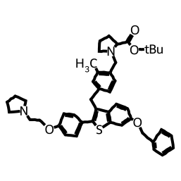 Cc1cc(Cc2c(-c3ccc(OCCN4CCCC4)cc3)sc3cc(OCc4ccccc4)ccc23)ccc1CN1CCCC1C(=O)OC(C)(C)C